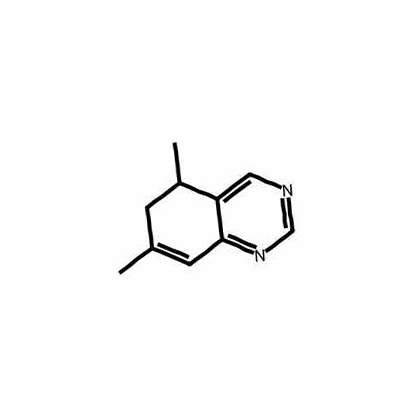 CC1=Cc2ncncc2C(C)C1